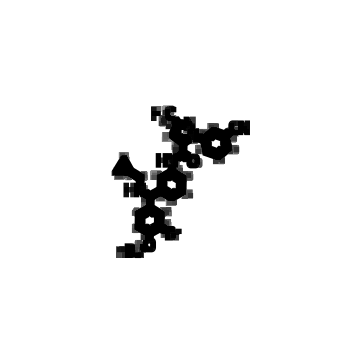 CCCCOc1ccc(C(NCC2CC2)c2cccc(NC(=O)c3cc(C(F)(F)F)nn3-c3cccc(C#N)c3)c2)cc1Br